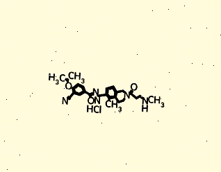 CNCCC(=O)N1CCc2c(ccc(-c3noc(-c4ccc(OC(C)C)c(C#N)c4)n3)c2C)C1.Cl